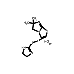 CC1(C)CN2C(CSC3=NCCN3)=CSC2=N1.Cl.Cl